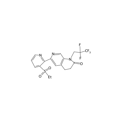 CCS(=O)(=O)c1cccnc1-c1cc2c(cn1)N(CC(F)(F)C(F)(F)F)C(=O)CC2